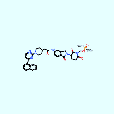 CC(C)COP(=O)(OCC(C)C)OCN1C(=O)CCC(N2Cc3cc(NC(=O)CC4CCN(c5nccc(-c6cccc7ccccc67)n5)CC4)ccc3C2=O)C1=O